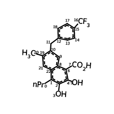 CCCc1c(O)c(O)c(C(=O)O)c2cc(Cc3ccc(C(F)(F)F)cc3)c(C)cc12